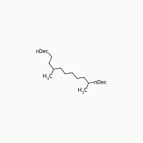 CCCCCCCCCCCCC(C)CCCCCC(C)CCCCCCCCCC